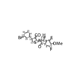 COc1c(F)cc(C(=O)Nc2scc(-c3cccc(Br)c3)c2C(=O)O)c(F)c1F